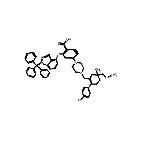 COCC1(C)CCC(c2ccc(Cl)cc2)=C(CN2CCN(c3ccc(C(=O)O)c(Oc4cccc5c4cnn5C(c4ccccc4)(c4ccccc4)c4ccccc4)c3)CC2)C1